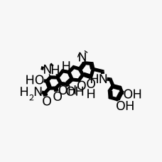 CN(C)c1cc(CNCc2ccc(O)c(O)c2)c(O)c2c1C[C@H]1C[C@H]3[C@@H](N(C)C)C(O)=C(C(N)=O)C(=O)[C@@]3(O)C(O)=C1C2=O